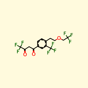 O=C(CC(=O)C(F)(F)F)c1ccc(CCOCC(F)(F)F)c(C(F)(F)F)c1